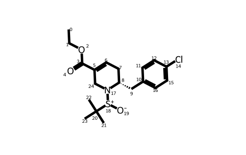 CCOC(=O)C1=CC[C@H](Cc2ccc(Cl)cc2)N([S+]([O-])C(C)(C)C)C1